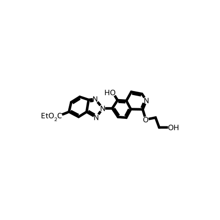 CCOC(=O)c1ccc2nn(-c3ccc4c(OCCO)nccc4c3O)nc2c1